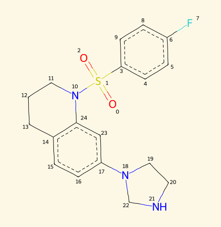 O=S(=O)(c1ccc(F)cc1)N1CCCc2ccc(N3CCNC3)cc21